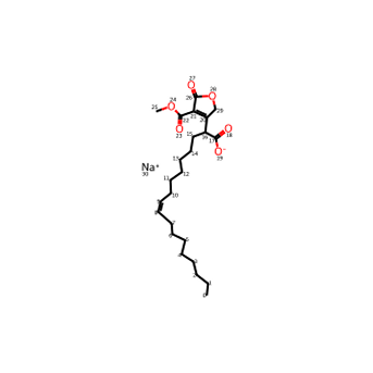 CCCCCCCC/C=C\CCCCCCC(C(=O)[O-])C1=C(C(=O)OC)C(=O)OC1.[Na+]